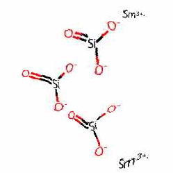 O=[Si]([O-])[O-].O=[Si]([O-])[O-].O=[Si]([O-])[O-].[Sm+3].[Sm+3]